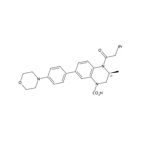 CC(C)CC(=O)N1c2ccc(-c3ccc(N4CCOCC4)cc3)cc2N(C(=O)O)C[C@@H]1C